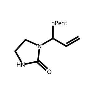 C=CC(CCCCC)N1CCNC1=O